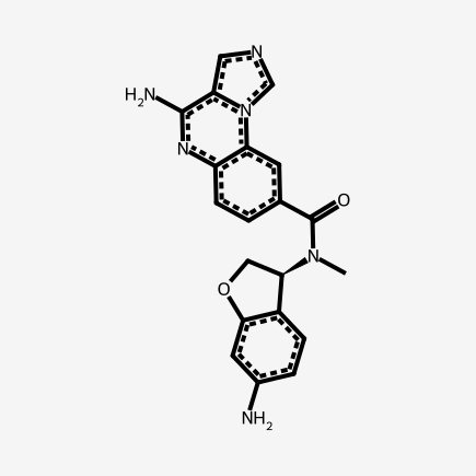 CN(C(=O)c1ccc2nc(N)c3cncn3c2c1)[C@@H]1COc2cc(N)ccc21